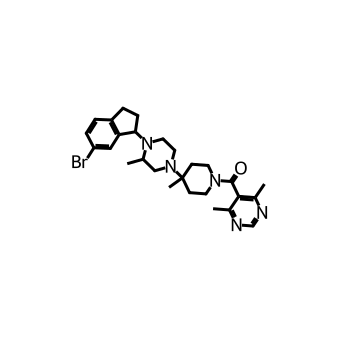 Cc1ncnc(C)c1C(=O)N1CCC(C)(N2CCN(C3CCc4ccc(Br)cc43)C(C)C2)CC1